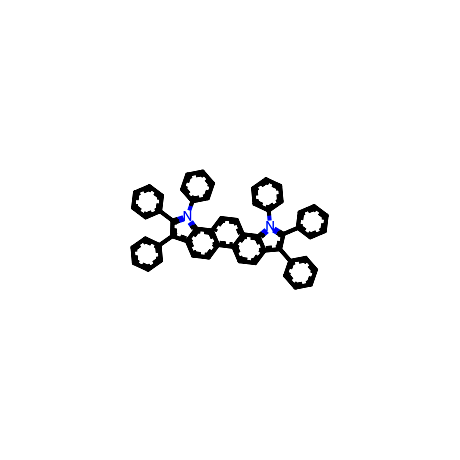 c1ccc(-c2c(-c3ccccc3)n(-c3ccccc3)c3c2ccc2c4ccc5c(-c6ccccc6)c(-c6ccccc6)n(-c6ccccc6)c5c4ccc23)cc1